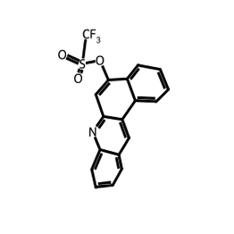 O=S(=O)(Oc1cc2nc3ccccc3cc2c2ccccc12)C(F)(F)F